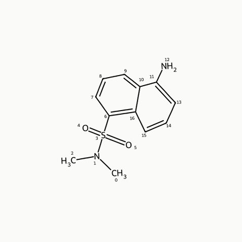 CN(C)S(=O)(=O)c1cccc2c(N)cccc12